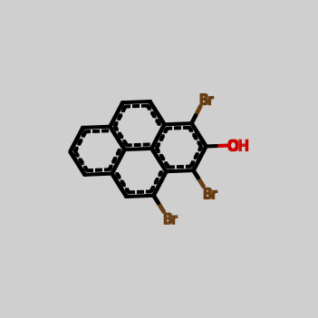 Oc1c(Br)c2ccc3cccc4cc(Br)c(c1Br)c2c34